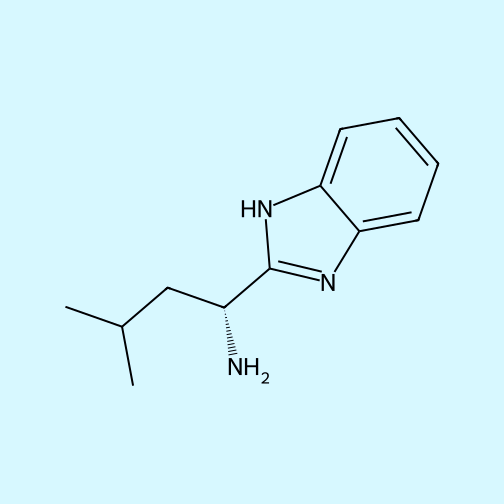 CC(C)C[C@@H](N)c1nc2ccccc2[nH]1